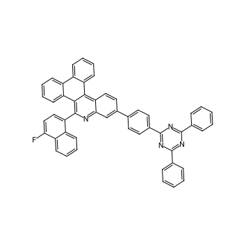 Fc1ccc(-c2nc3cc(-c4ccc(-c5nc(-c6ccccc6)nc(-c6ccccc6)n5)cc4)ccc3c3c4ccccc4c4ccccc4c23)c2ccccc12